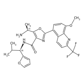 COc1ccc(-c2nc(C(=O)N[C@@H](c3ccco3)C(C)C)c([C@H](C)N)o2)c2ccc(C(F)(F)F)nc12